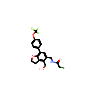 O=C(CCl)NCc1cc(-c2ccc(OC(F)(F)F)cc2)c2c(c1CO)CCO2